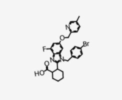 Cc1ccc(COc2cc(F)c3nc(C4CCCCC4C(=O)O)n(Cc4ccc(Br)cc4)c3c2)nc1